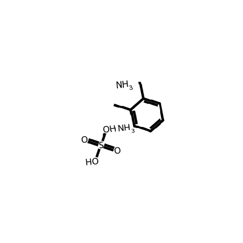 Cc1ccccc1C.N.N.O=S(=O)(O)O